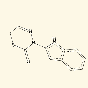 O=C1SCC=NN1c1cc2ccccc2[nH]1